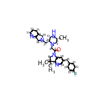 C[C@@H]1CN(CC(=O)N2CC(C)(C)c3ncc(Cc4ccc(F)cc4)cc32)[C@@H](CN2Cc3cccnc3C2)CN1